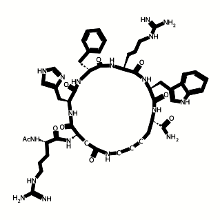 CC(=O)N[C@@H](CCCNC(=N)N)C(=O)N[C@H]1CC(=O)NCCCC[C@@H](C(N)=O)NC(=O)[C@H](Cc2c[nH]c3ccccc23)NC(=O)[C@H](CCCNC(=N)N)NC(=O)[C@@H](Cc2ccccc2)NC(=O)[C@H](Cc2c[nH]cn2)NC1=O